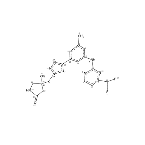 Cc1cc(Nc2nccc(C(F)F)n2)cc(-c2cn(C[C@]3(O)CNC(=O)C3)nn2)c1